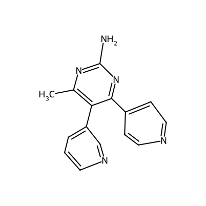 Cc1nc(N)nc(-c2ccncc2)c1-c1cccnc1